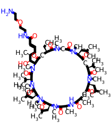 CC[C@@H]1CC(=O)[C@H]([C@H](O)[C@H](C)C/C=C/C(=O)NCCOCCN)N(C)C(=O)[C@H](C(C)C)N(C)C(=O)[C@H](CC(C)C)N(C)C(=O)[C@H](CC(C)C)N(C)C(=O)[C@@H](C)NC(=O)[C@H](C)CC(=O)[C@H](CC(C)C)N(C)C(=O)[C@H](C(C)C)CC(=O)[C@H](CC(C)C)N(C)C(=O)CN(C)C1=O